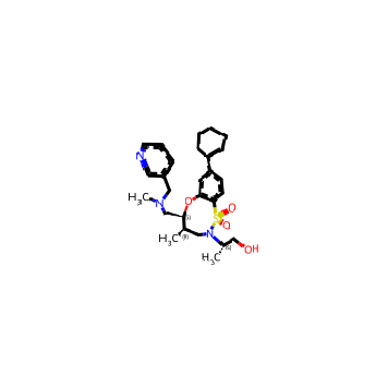 C[C@@H]1CN([C@@H](C)CO)S(=O)(=O)c2ccc(C3=CCCCC3)cc2O[C@@H]1CN(C)Cc1cccnc1